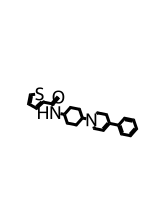 O=C(NC1CCC(N2CC=C(c3ccccc3)CC2)CC1)c1cccs1